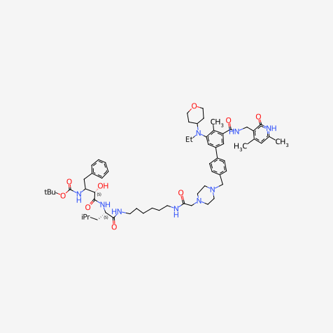 CCN(c1cc(-c2ccc(CN3CCN(CC(=O)NCCCCCCNC(=O)[C@H](CC(C)C)NC(=O)[C@@H](O)C(Cc4ccccc4)NC(=O)OC(C)(C)C)CC3)cc2)cc(C(=O)NCc2c(C)cc(C)[nH]c2=O)c1C)C1CCOCC1